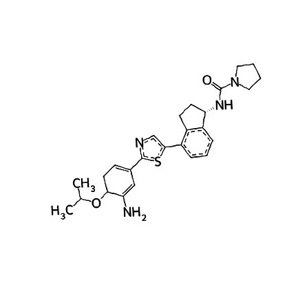 CC(C)OC1CC=C(c2ncc(-c3cccc4c3CC[C@@H]4NC(=O)N3CCCC3)s2)C=C1N